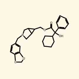 O=C(OCC1C2CN(Cc3ccc4c(c3)OCO4)CC12)C(O)(c1ccccc1)C1CCCCC1